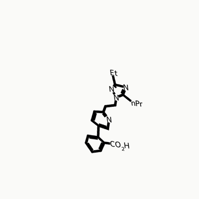 CCCc1nc(CC)nn1CCc1ccc(-c2ccccc2C(=O)O)cn1